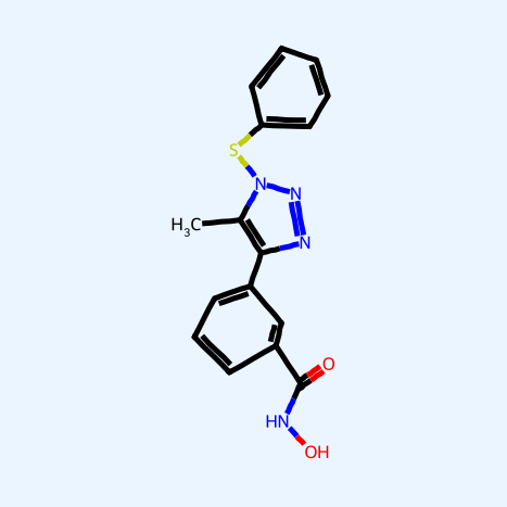 Cc1c(-c2cccc(C(=O)NO)c2)nnn1Sc1ccccc1